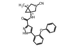 C[C@@]12CN(C#N)C[C@]1(NC(=O)c1cc(-c3ccccc3Oc3ccccc3)[nH]n1)C2